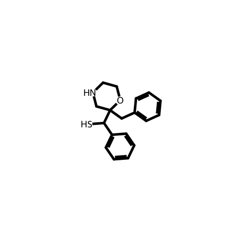 SC(c1ccccc1)C1(Cc2ccccc2)CNCCO1